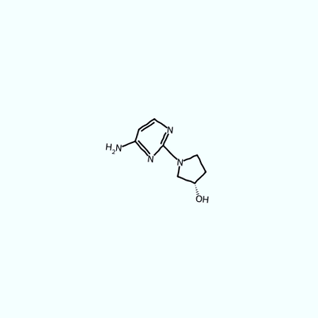 Nc1ccnc(N2CC[C@H](O)C2)n1